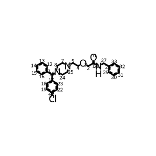 O=C(COCCN1CCN(C(c2ccccc2)c2ccc(Cl)cc2)CC1)NCc1ccccc1